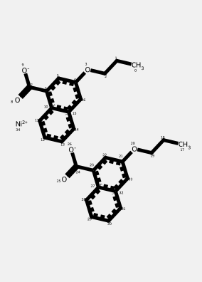 CCCOc1cc(C(=O)[O-])c2ccccc2c1.CCCOc1cc(C(=O)[O-])c2ccccc2c1.[Ni+2]